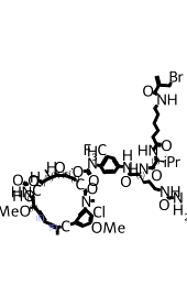 C=C(CBr)C(=O)NCCCCCC(=O)N[C@H](C(=O)N[C@@H](CCCNC(N)=O)C(=O)Nc1ccc(NC(=O)O[C@H]2CC(=O)N(C)c3cc(cc(OC)c3Cl)C/C(C)=C/C=C/[C@@H](OC)[C@@]3(O)C[C@H](OC(=O)N3)[C@@H](C)[C@@H]3O[C@@]23C)c(C(F)(F)F)c1)C(C)C